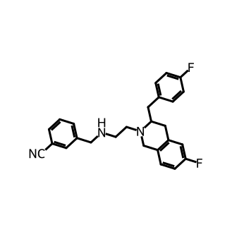 N#Cc1cccc(CNCCN2Cc3ccc(F)cc3CC2Cc2ccc(F)cc2)c1